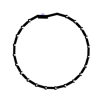 C1=C/CCCCCCCCCCCCCCCCCCCCCC/1